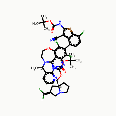 C[C@H](c1cccnc1NC(=O)OC(C)(C)C)N1CCOc2c(Cl)c(-c3ccc(F)c4sc(NC(=O)OC(C)(C)C)c(C#N)c34)c(F)c3nc(OC[C@@]45CCCN4CC(=C(F)F)C5)nc1c23